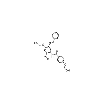 CC(=O)c1cc(OCO)c(OCc2ccccc2)cc1NC(=O)c1ccc(OCO)cc1